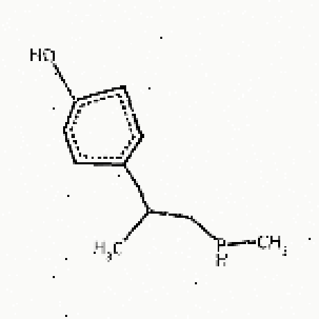 CPCC(C)c1ccc(O)cc1